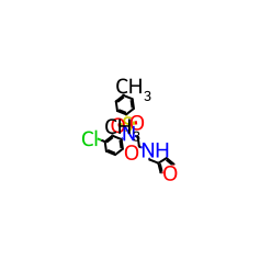 Cc1ccc(S(=O)(=O)N(CC(=O)NCc2ccoc2)c2cccc(Cl)c2C)cc1